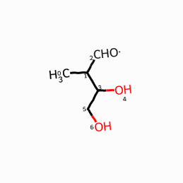 CC([C]=O)C(O)CO